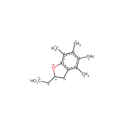 CC(=O)Oc1c(C)c(C)c2c(c1C)CC(CC(=O)O)O2